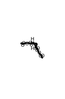 C=CC(=O)OCCOCCOC(=O)NC(C)(C)c1cccc(C(C)(C)NC(=O)OCCOCCOC(=O)C=C)c1